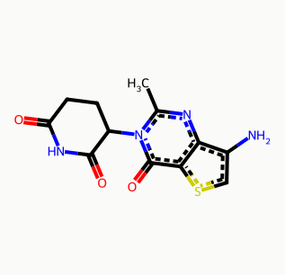 Cc1nc2c(N)csc2c(=O)n1C1CCC(=O)NC1=O